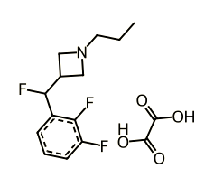 CCCN1CC(C(F)c2cccc(F)c2F)C1.O=C(O)C(=O)O